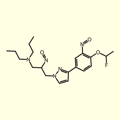 CCCN(CCC)CC(Cn1ccc(-c2ccc(OC(C)F)c(N=O)c2)n1)N=O